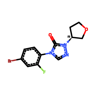 O=c1n(-c2ccc(Br)cc2F)cnn1[C@@H]1CCOC1